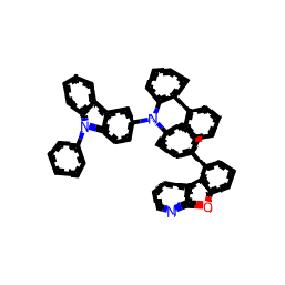 c1ccc(-c2ccccc2N(c2ccc(-c3cccc4oc5ncccc5c34)cc2)c2ccc3c(c2)c2ccccc2n3-c2ccccc2)cc1